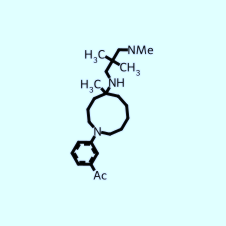 CNCC(C)(C)CNC1(C)CCCCCN(c2cccc(C(C)=O)c2)CCC1